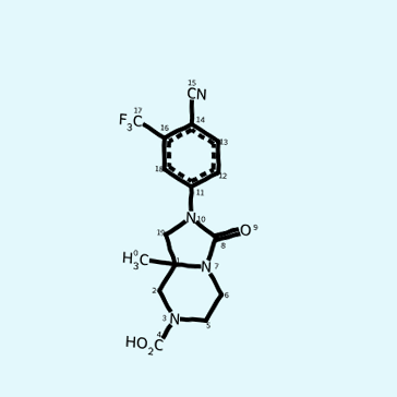 CC12CN(C(=O)O)CCN1C(=O)N(c1ccc(C#N)c(C(F)(F)F)c1)C2